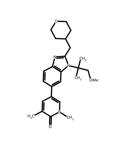 COCC(C)(C)n1c(CC2CCOCC2)nc2ccc(-c3cc(C)c(=O)n(C)c3)cc21